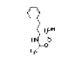 O=C(NC(CCc1ccccc1)[PH](=O)O)C(F)(F)F